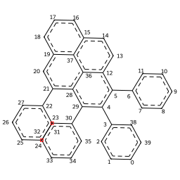 c1ccc(-c2c(-c3ccccc3)c3ccc4cccc5cc(-c6ccccc6)c(c2-c2ccccc2)c3c45)cc1